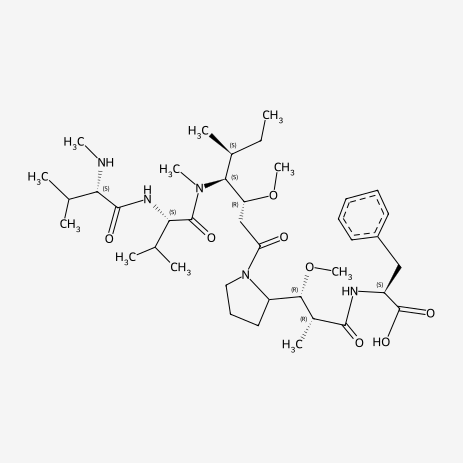 CC[C@H](C)[C@@H]([C@@H](CC(=O)N1CCCC1[C@H](OC)[C@@H](C)C(=O)N[C@@H](Cc1ccccc1)C(=O)O)OC)N(C)C(=O)[C@@H](NC(=O)[C@@H](NC)C(C)C)C(C)C